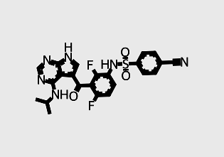 CC(C)Nc1ncnc2[nH]cc(C(=O)c3c(F)ccc(NS(=O)(=O)c4ccc(C#N)cc4)c3F)c12